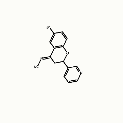 N#C/N=C1\CC(c2cccnc2)Oc2ccc(Br)cc21